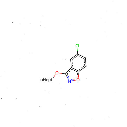 CCCCCCCOc1noc2ccc(Cl)cc12